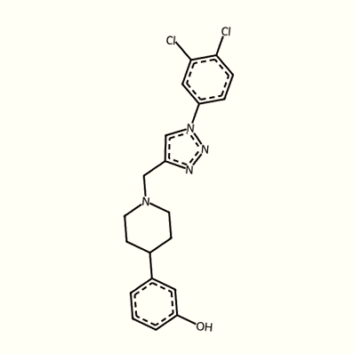 Oc1cccc(C2CCN(Cc3cn(-c4ccc(Cl)c(Cl)c4)nn3)CC2)c1